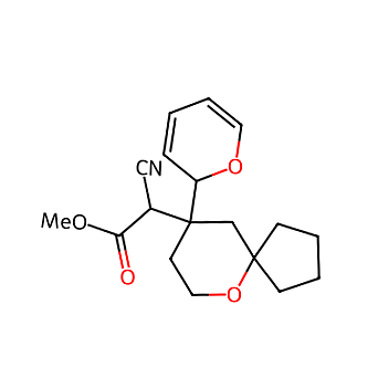 COC(=O)C(C#N)C1(C2C=CC=CO2)CCOC2(CCCC2)C1